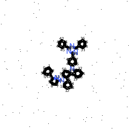 c1ccc(-c2cccc(-n3c4ccccc4c4c5c6ccccc6n(-c6ccc(-c7nc(-c8ccccc8)nc(-c8ccccc8)n7)cc6)c5ccc43)n2)cc1